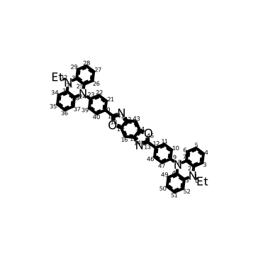 CCN1c2ccccc2N(c2ccc(-c3nc4cc5oc(-c6ccc(N7c8ccccc8N(CC)c8ccccc87)cc6)nc5cc4o3)cc2)c2ccccc21